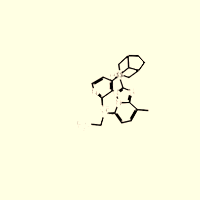 Cc1ccc(OCC(F)(F)F)n2nc(NC3C4CCC3CN(c3ccnc(C(F)(F)F)c3)C4)nc12